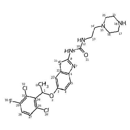 CC(Oc1ccc2nc(NC(=O)NCCN3CCNCC3)sc2c1)c1c(Cl)ccc(F)c1Cl